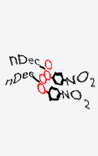 CCCCCCCCCCCC(=O)Oc1ccc([N+](=O)[O-])cc1.CCCCCCCCCCCC(=O)Oc1ccc([N+](=O)[O-])cc1